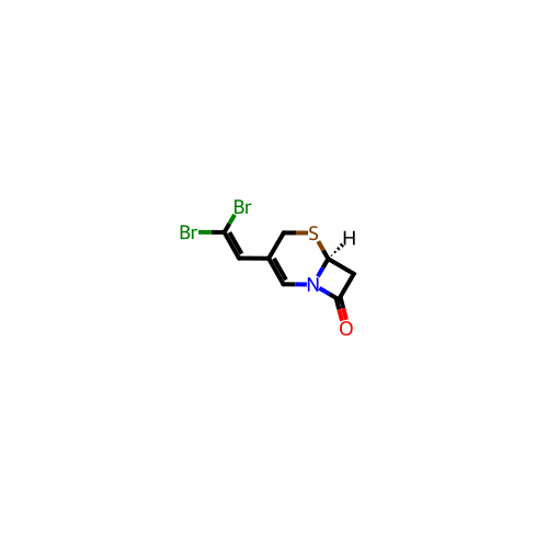 O=C1C[C@@H]2SCC(C=C(Br)Br)=CN12